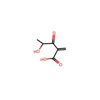 C=C(C(=O)O)C(=O)C(C)O